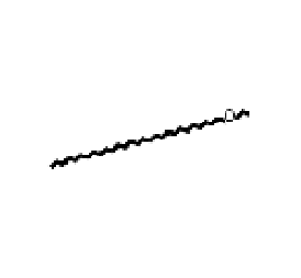 CCCCCCCCCCCCCCCCCCCCCCCCCCCC[CH]OCCC